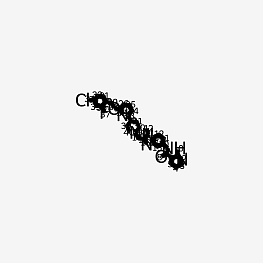 Cc1ncccc1C(=O)Nc1ccc2c(c1)nc(CN1CCC(c3cccc(OCc4ccc(Cl)cc4F)n3)CC1)n2C